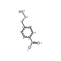 O=[N+]([O-])c1ccc(CSS)cc1